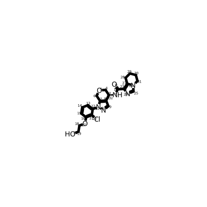 O=C(N[C@@H]1COCc2c1cnn2-c1cccc(OCCO)c1Cl)c1ncn2c1CCCC2